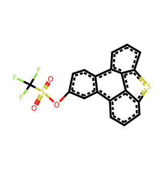 O=S(=O)(Oc1ccc2c(c1)c1cccc3sc4cccc2c4c31)C(F)(F)F